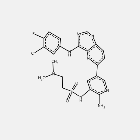 CN(C)CCS(=O)(=O)Nc1cc(-c2ccc3ncnc(Nc4ccc(F)c(Cl)c4)c3n2)cnc1N